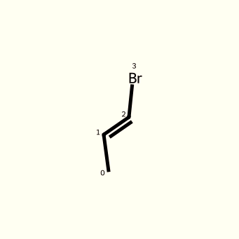 C/C=C/Br